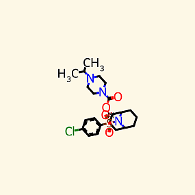 CC(C)N1CCN(C(=O)O[C@H]2CCC3CCCC2N3S(=O)(=O)c2ccc(Cl)cc2)CC1